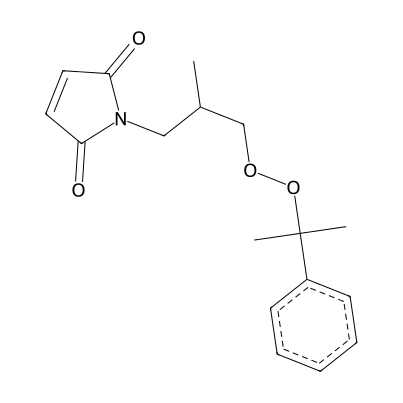 CC(COOC(C)(C)c1ccccc1)CN1C(=O)C=CC1=O